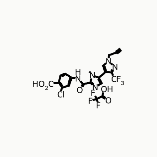 C#CCn1cc(-c2cnc(C(=O)Nc3ccc(C(=O)O)c(Cl)c3)n2C)c(C(F)(F)F)n1.O=C(O)C(F)(F)F